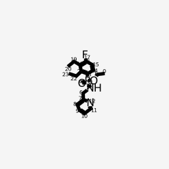 CCOP(=O)(NCc1ccccn1)c1ccc(F)c(CC)c1CC